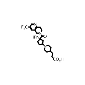 CC(C)[C@]1(C(=O)N2CCc3ncc(C(F)(F)F)cc3C2)CCC(N2CCC(CCC(=O)O)CC2)C1